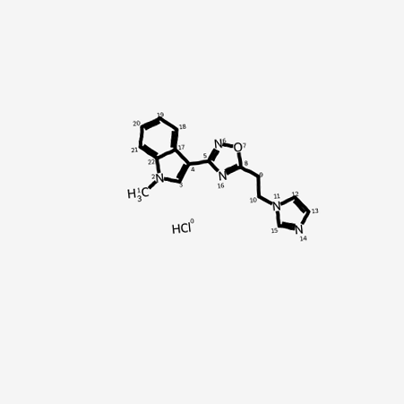 Cl.Cn1cc(-c2noc(CCn3ccnc3)n2)c2ccccc21